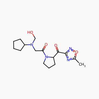 Cc1nc(C(=O)C2CCCN2C(=O)CN(CO)C2CCCC2)no1